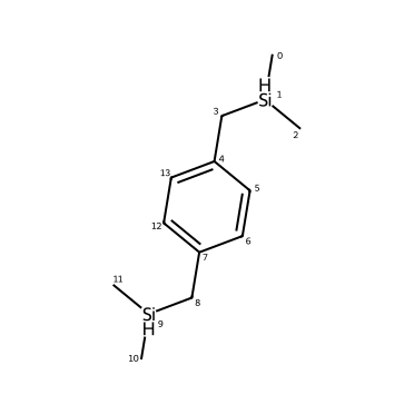 C[SiH](C)Cc1ccc(C[SiH](C)C)cc1